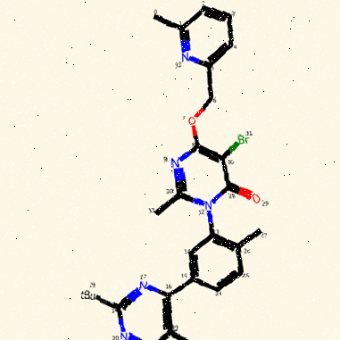 Cc1cccc(COc2nc(C)n(-c3cc(-c4nc(C(C)(C)C)ncc4C)ccc3C)c(=O)c2Br)n1